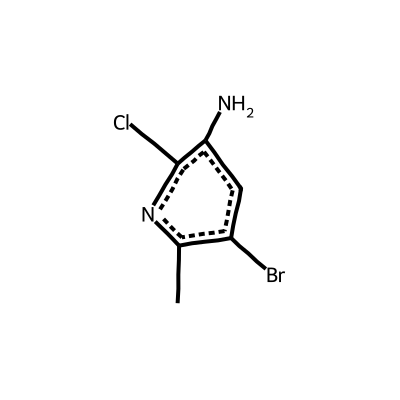 Cc1nc(Cl)c(N)cc1Br